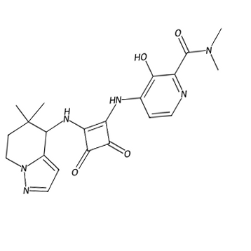 CN(C)C(=O)c1nccc(Nc2c(NC3c4ccnn4CCC3(C)C)c(=O)c2=O)c1O